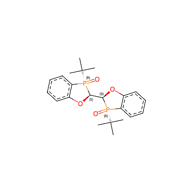 CC(C)(C)[P@@]1(=O)c2ccccc2O[C@@H]1[C@H]1Oc2ccccc2[P@]1(=O)C(C)(C)C